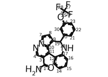 NC(=O)c1cnn2ccc3c2c1-c1ccccc1NC3c1cccc(OC(F)(F)F)c1